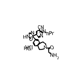 CCCNc1ncc(C2(c3ccc4c(c3)CCN(C(=O)CN)CC4)N=CNO2)cc1C#N.Cl.Cl